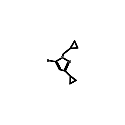 Brc1cc(C2CC2)nn1CC1CC1